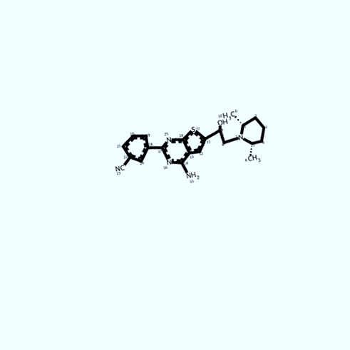 C[C@@H]1CCC[C@H](C)N1CC(O)c1cc2c(N)nc(-c3cccc(C#N)c3)nc2s1